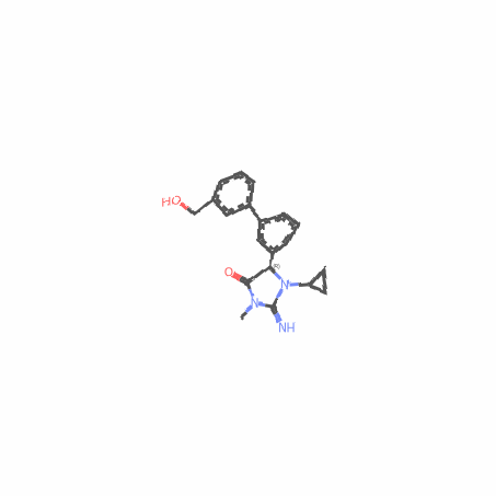 CN1C(=N)N(C2CC2)[C@H](c2cccc(-c3cccc(CO)c3)c2)C1=O